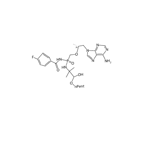 CCCCCOC(O)C(C)(C)NP(=O)(CO[C@H](C)Cn1cnc2c(N)ncnc21)NC(=O)c1ccc(F)cc1